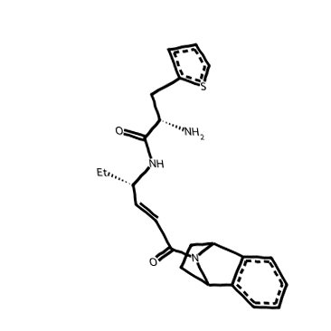 CC[C@@H](/C=C/C(=O)N1C2CCC1c1ccccc12)NC(=O)[C@@H](N)Cc1cccs1